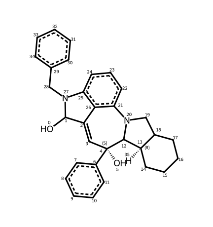 OC1C2=C[C@](O)(c3ccccc3)C3[C@@H]4CCCCC4CN3c3cccc(c32)N1Cc1ccccc1